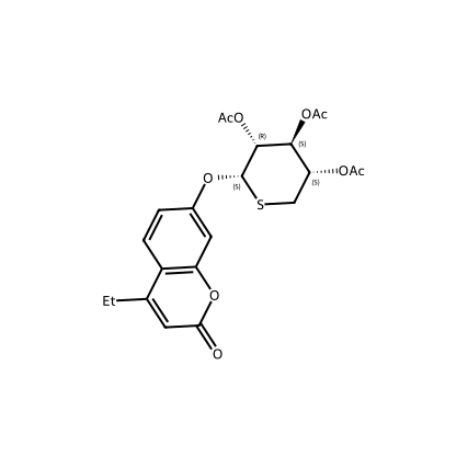 CCc1cc(=O)oc2cc(O[C@H]3SC[C@@H](OC(C)=O)[C@H](OC(C)=O)[C@H]3OC(C)=O)ccc12